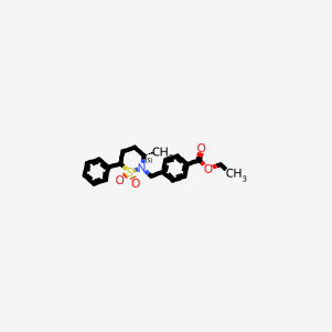 CCOC(=O)c1ccc(CN2[C@@H](C)CCC(c3ccccc3)S2(=O)=O)cc1